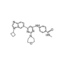 CNC(=O)c1ccc(Nc2cc(-c3ccc4ncn(C5CCC5)c4c3)nc(N3CCOCC3)n2)cc1